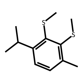 CSc1c(C)ccc(C(C)C)c1SC